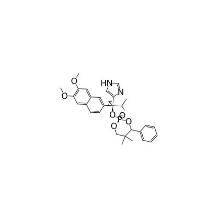 COc1cc2ccc([C@](OP3(=O)OCC(C)(C)C(c4ccccc4)O3)(c3c[nH]cn3)C(C)C)cc2cc1OC